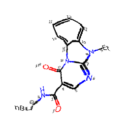 CCCCNC(=O)c1cnc2n(CC)c3ccccc3n2c1=O